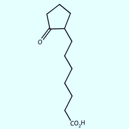 O=C(O)CCCCCCC1CCCC1=O